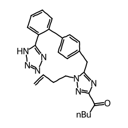 C=CCCn1nc(C(=O)CCCC)nc1Cc1ccc(-c2ccccc2-c2nnn[nH]2)cc1